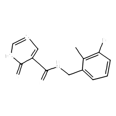 Cc1c(Br)cccc1CNC(=O)c1cnc[nH]c1=O